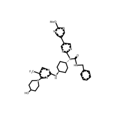 COc1ncc(-c2cnc(N(C(=O)NCc3ccccc3)[C@H]3CC[C@H](Nc4ncc(C(F)(F)F)c(N5CCC(O)CC5)n4)CC3)nc2)cn1